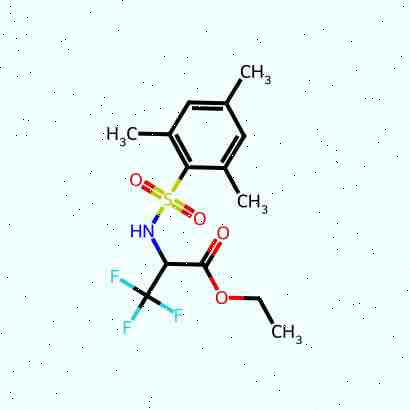 CCOC(=O)C(NS(=O)(=O)c1c(C)cc(C)cc1C)C(F)(F)F